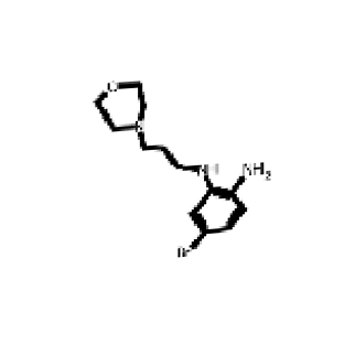 Nc1ccc(Br)cc1NCCCN1CCOCC1